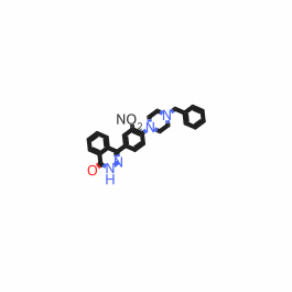 O=c1[nH]nc(-c2ccc(N3CCN(Cc4ccccc4)CC3)c([N+](=O)[O-])c2)c2ccccc12